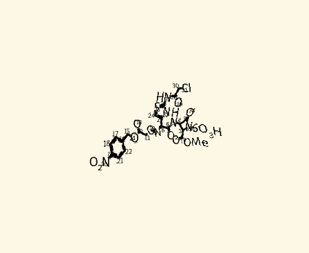 COC(=O)C1C(NC(=O)C(=NOCC(=O)OCc2ccc([N+](=O)[O-])cc2)c2csc(NC(=O)CCl)n2)C(=O)N1S(=O)(=O)O